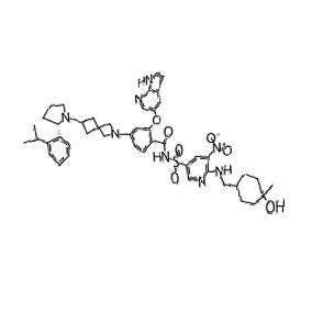 CC(C)c1ccccc1[C@@H]1CCCN1C1CC2(C1)CN(c1ccc(C(=O)NS(=O)(=O)c3cnc(NCC4CCC(C)(O)CC4)c([N+](=O)[O-])c3)c(Oc3cnc4[nH]ccc4c3)c1)C2